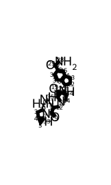 N#C[C@@H]1CC2C[C@@H]2N1C(=O)[C@@H](N)CN1C[C@@H]2C[C@H]1C(=O)N2[C@H]1CCc2cc(C(N)=O)ccc21